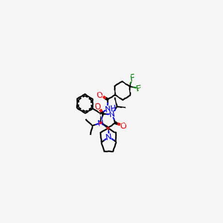 CC(C)N1C(=O)N(C(C)C)C2(CC3CCC(C2)N3CC[C@H](NC(=O)C2CCC(F)(F)CC2)c2ccccc2)C1=O